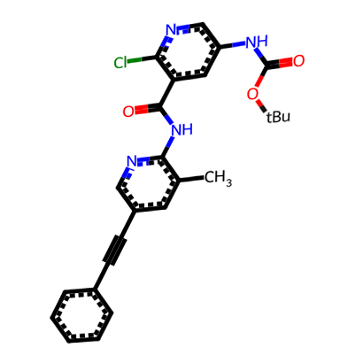 Cc1cc(C#Cc2ccccc2)cnc1NC(=O)c1cc(NC(=O)OC(C)(C)C)cnc1Cl